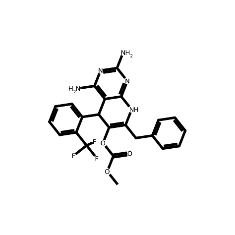 COC(=O)OC1=C(Cc2ccccc2)Nc2nc(N)nc(N)c2C1c1ccccc1C(F)(F)F